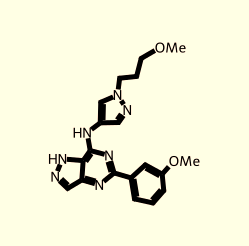 COCCCn1cc(Nc2nc(-c3cccc(OC)c3)nc3cn[nH]c23)cn1